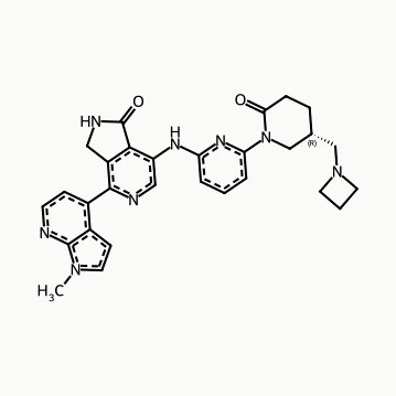 Cn1ccc2c(-c3ncc(Nc4cccc(N5C[C@@H](CN6CCC6)CCC5=O)n4)c4c3CNC4=O)ccnc21